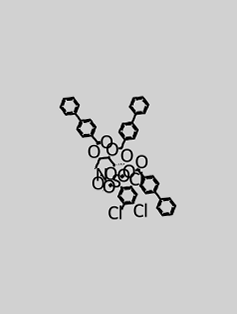 CO/N=C/[C@H](OC(=O)c1ccc(-c2ccccc2)cc1)[C@@H](OC(=O)c1ccc(-c2ccccc2)cc1)[C@H](COC(=O)c1ccc(-c2ccccc2)cc1)OS(=O)(=O)c1cc(Cl)c(Cl)cc1Cl